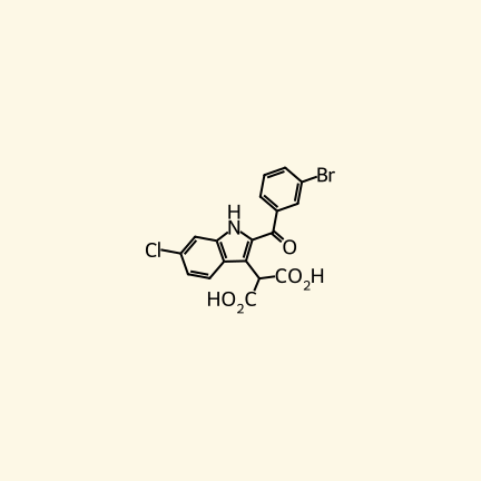 O=C(c1cccc(Br)c1)c1[nH]c2cc(Cl)ccc2c1C(C(=O)O)C(=O)O